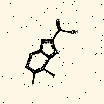 O=C(O)c1cc2ccc(F)c(F)c2s1